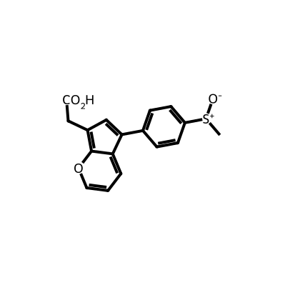 C[S+]([O-])c1ccc(-c2cc(CC(=O)O)c3occcc2-3)cc1